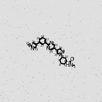 CNC(=O)[C@@H]1CCC[C@@H](n2cc(-c3cnc(-c4cccc(-c5cnn(C)c5)c4)nc3)cn2)C1